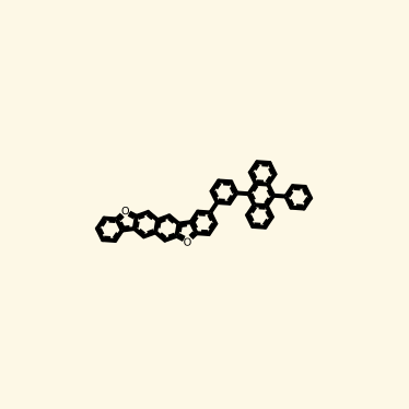 c1ccc(-c2c3ccccc3c(-c3cccc(-c4ccc5oc6cc7cc8c(cc7cc6c5c4)oc4ccccc48)c3)c3ccccc23)cc1